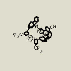 N#Cc1ccc(-c2cc(-n3c4ccccc4c4ccc(-c5cc(C(F)(F)F)cc(C(F)(F)F)c5)cc43)ncc2-n2c3ccccc3c3ccc(-c4cc(C(F)(F)F)cc(C(F)(F)F)c4)cc32)cc1